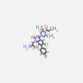 C=CC(=O)N1[C@H](C)CN(c2nc(=O)n3c4c(c(-c5ccc(F)cc5)c(Cl)cc24)SCC(N)C3)C[C@@H]1C